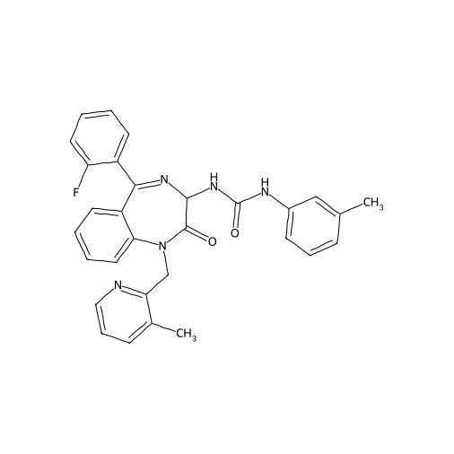 Cc1cccc(NC(=O)NC2N=C(c3ccccc3F)c3ccccc3N(Cc3ncccc3C)C2=O)c1